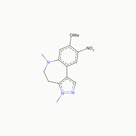 COc1cc2c(cc1[N+](=O)[O-])-c1cnn(C)c1CCN2C